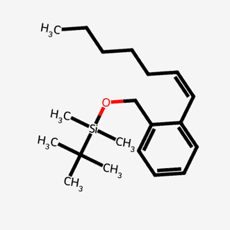 CCCCC/C=C\c1ccccc1CO[Si](C)(C)C(C)(C)C